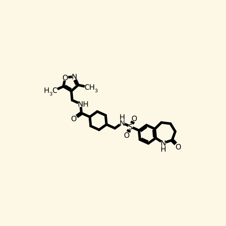 Cc1noc(C)c1CNC(=O)C1CCC(CNS(=O)(=O)c2ccc3c(c2)CCCC(=O)N3)CC1